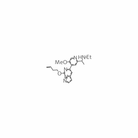 C=CCCOc1nc(-c2cc(C(C)NCC)ncc2OC)cc2ccnn12